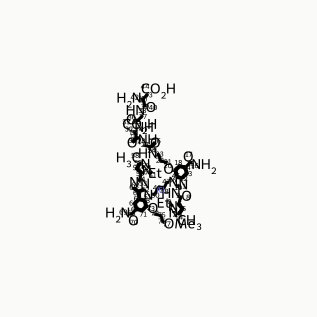 CCn1nc(C)cc1C(=O)Nc1nc2cc(C(N)=O)cc(OCCCNC(=O)CNC(=O)[C@H](CC(=O)O)NC(=O)CNC(=O)[C@@H](N)CC(=O)O)c2n1C/C=C/Cn1c2nc(-c3cc(C)nn3CC)ncc2c2cc(C(N)=O)cc(OCCCOC)c21